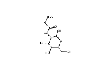 COCC(=O)NC1C(O)OC(CO)[C@@H](O)[C@@H]1O